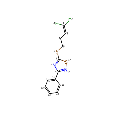 FC(F)=CCCSc1nc(-c2ccccc2)ns1